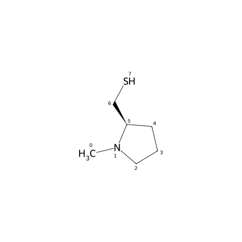 CN1CCC[C@@H]1CS